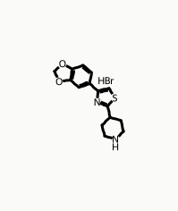 Br.c1cc2c(cc1-c1csc(C3CCNCC3)n1)OCO2